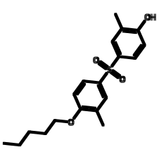 CCCCCOc1ccc(S(=O)(=O)c2ccc(O)c(C)c2)cc1C